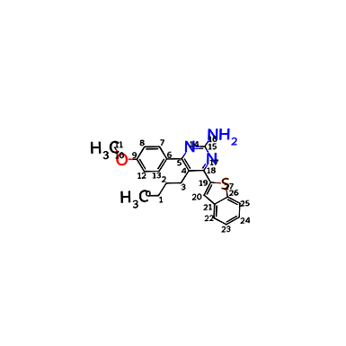 CCCCc1c(-c2ccc(OC)cc2)nc(N)nc1-c1cc2ccccc2s1